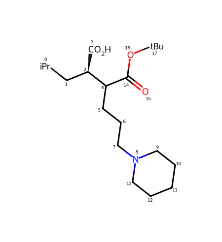 CC(C)C[C@@H](C(=O)O)C(CCCN1CCCCC1)C(=O)OC(C)(C)C